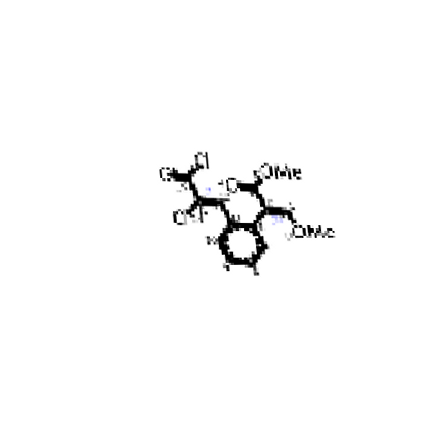 CO/C=C(/C(=O)OC)c1ccccc1/C=C(\Cl)C(=O)Cl